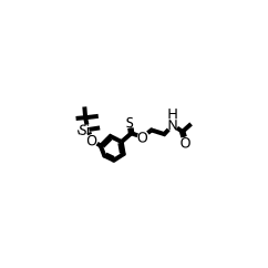 CC(=O)NCCOC(=S)c1cccc(O[Si](C)(C)C(C)(C)C)c1